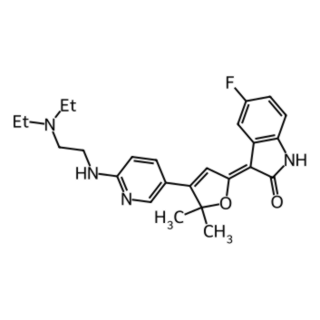 CCN(CC)CCNc1ccc(C2=CC(=C3C(=O)Nc4ccc(F)cc43)OC2(C)C)cn1